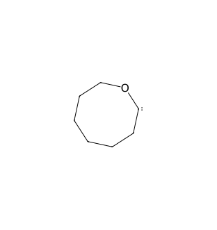 [C]1CCCCCCO1